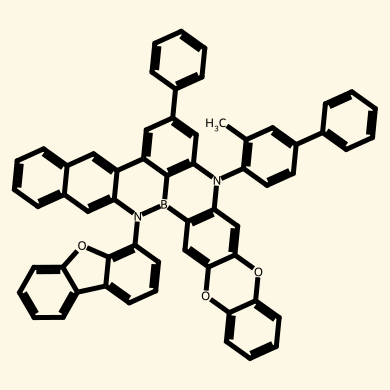 Cc1cc(-c2ccccc2)ccc1N1c2cc3c(cc2B2c4c(cc(-c5ccccc5)cc41)-c1cc4ccccc4cc1N2c1cccc2c1oc1ccccc12)Oc1ccccc1O3